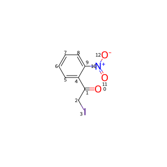 O=C(CI)c1ccccc1[N+](=O)[O-]